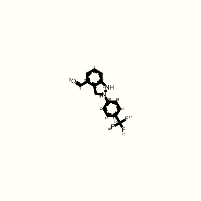 O=Cc1cccc2c1CN(c1ccc(C(F)(F)F)cc1)N2